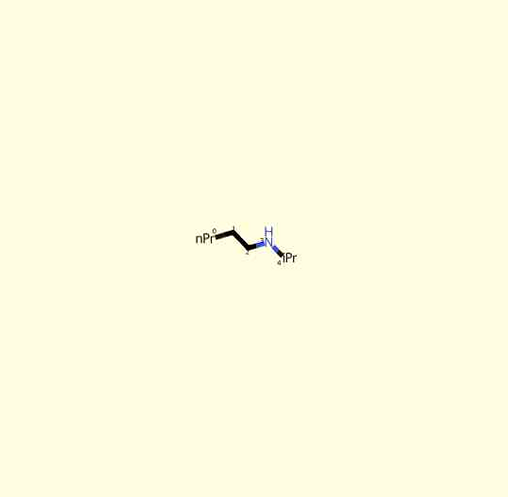 CCCC[C]NC(C)C